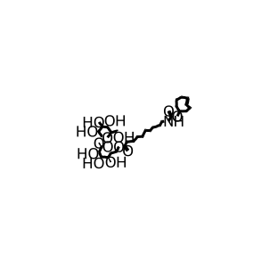 O=C(CCCCCCCCCNC(=O)OC1CC/C=C/CCC1)OCC1O[C@H](O[C@H]2OC(CO)[C@@H](O)C(O)[C@H]2O)C(O)[C@@H](O)[C@@H]1O